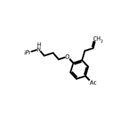 C=CCc1cc(C(C)=O)ccc1OCCCNC(C)C